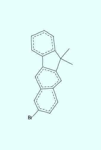 CC1(C)c2ccccc2-c2cc3cc(Br)ccc3cc21